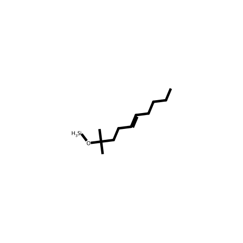 CCCCC=CCCC(C)(C)O[SiH3]